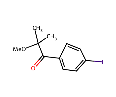 COC(C)(C)C(=O)c1ccc(I)cc1